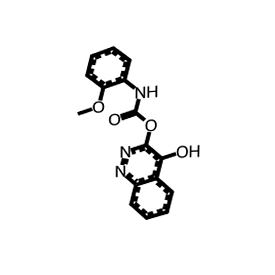 COc1ccccc1NC(=O)Oc1nnc2ccccc2c1O